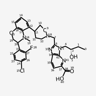 CC[C@H](O)Cn1c(CN2CCC(c3cccc4c3N(C)C(c3ccc(Cl)cc3F)CO4)CC2)nc2ccc(C(=O)O)nc21